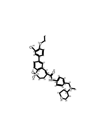 CCOc1ccc(-c2ccc3c(c2)C=C(C(=O)Nc2ccc(CN(C)C4CCOCC4)cc2)CCS3(=O)=O)cc1Cl